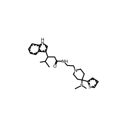 CC(C)C(CC(=O)NCCN1CCC(c2cccs2)(N(C)C)CC1)c1c[nH]c2ccccc12